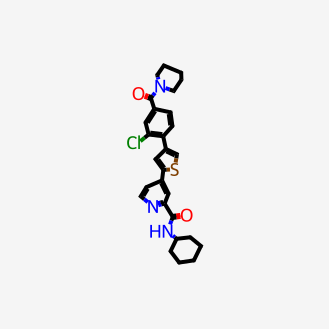 O=C(NC1CCCCC1)c1cc(-c2cc(-c3ccc(C(=O)N4CCCCC4)cc3Cl)cs2)ccn1